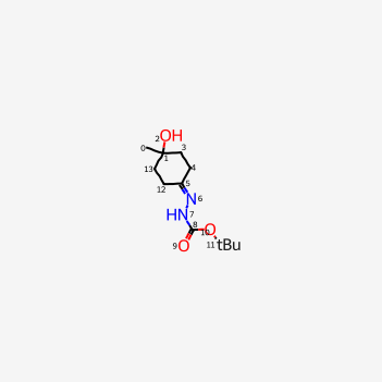 CC1(O)CCC(=NNC(=O)OC(C)(C)C)CC1